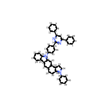 c1ccc(-c2cc(-c3ccccc3)nc(-c3ccc(-n4c5ccccc5c5cc6ccc7c(ccn7-c7ccccc7)c6cc54)cc3)n2)cc1